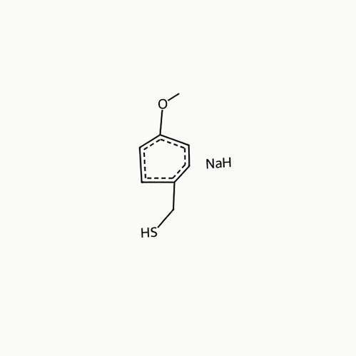 COc1ccc(CS)cc1.[NaH]